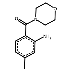 Cc1ccc(C(=O)N2CCOCC2)c(N)c1